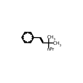 CCCC(C)(C)C=Cc1ccccc1